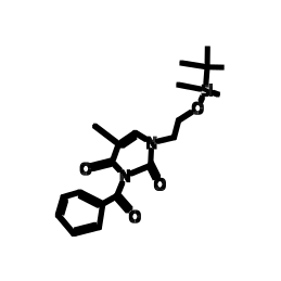 Cc1cn(CCO[Si](C)(C)C(C)(C)C)c(=O)n(C(=O)c2ccccc2)c1=O